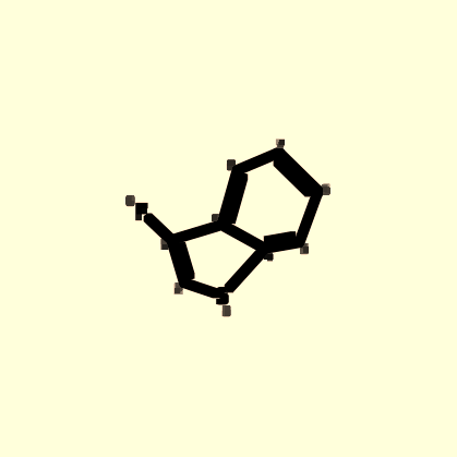 Fc1csc2cc[c]cc12